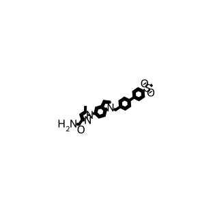 Cc1cc(C(N)=O)nn1-c1ccc2c(ccn2Cc2ccc(-c3ccc(S(C)(=O)=O)cc3)cc2)c1